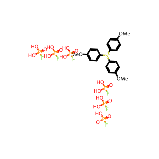 COc1ccc([S+](c2ccc(OC)cc2)c2ccc(OC)cc2)cc1.O=P(O)(O)F.O=P(O)(O)F.O=P(O)(O)F.O=P(O)(O)F.O=P(O)(O)F.O=P([O-])(O)F